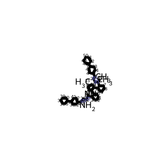 C/C(=C\C=C(/C)c1ccccc1-c1cc(C)ccc1-c1ccccc1/C(N)=C/C=C(\N)c1ccc(-c2ccccc2)cc1)c1ccc(C2=CCCC=C2)cc1